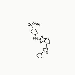 COC(=O)c1ccc(Nc2nc3c(-c4cnn(C5CCCC5)c4)cccn3n2)cc1